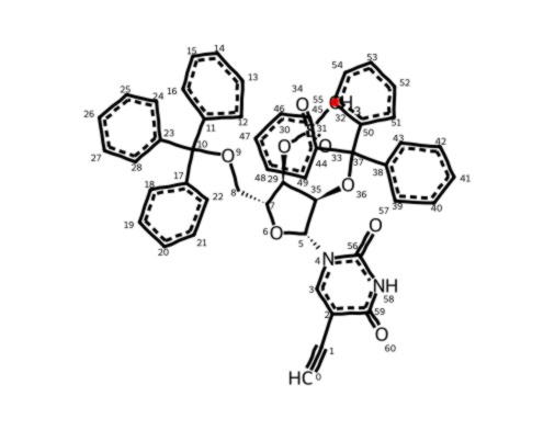 C#Cc1cn([C@@H]2O[C@H](COC(c3ccccc3)(c3ccccc3)c3ccccc3)[C@@H](OS(C)(=O)=O)[C@H]2OC(c2ccccc2)(c2ccccc2)c2ccccc2)c(=O)[nH]c1=O